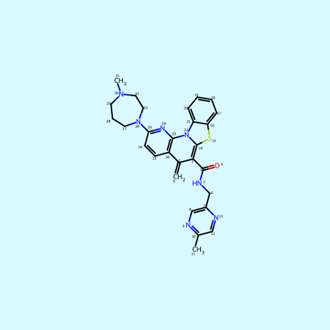 C=C1C(C(=O)NCc2cnc(C)cn2)=C2Sc3ccccc3N2c2nc(N3CCCN(C)CC3)ccc21